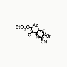 CCOC(=O)C(C(C)=O)C(=O)c1ccc(Br)c(C#N)n1